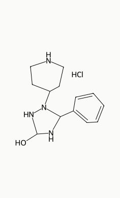 Cl.OC1NC(c2ccccc2)N(C2CCNCC2)N1